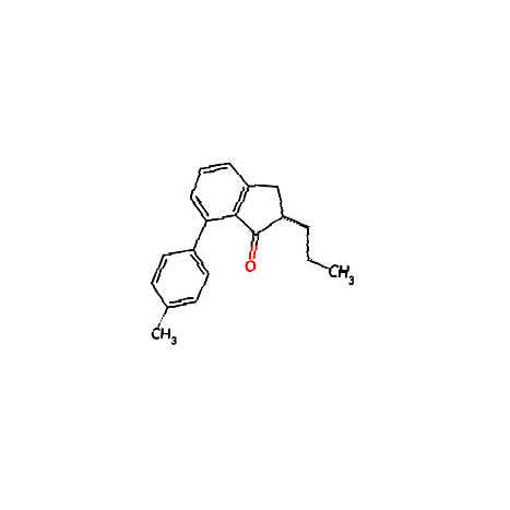 CCCC1Cc2cccc(-c3ccc(C)cc3)c2C1=O